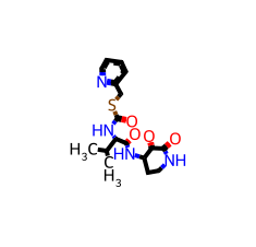 CC(C)C(NC(=O)SCc1ccccn1)C(=O)NC1CCNC(=O)C1=O